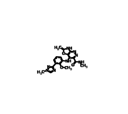 C=C1Nc2nnc(C(=O)NC)c(Nc3cccc(-c4ncn(C)n4)c3OC)c2O1